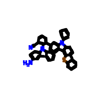 N#Cc1cccc(-c2ccc3c4c5sc6ccccc6c5ccc4n(-c4ccccc4)c3c2)c1-n1c2ccccc2c2cc(N)ccc21